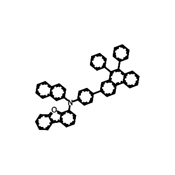 c1ccc(-c2c(-c3ccccc3)c3cc(-c4ccc(N(c5ccc6ccccc6c5)c5cccc6c5oc5ccccc56)cc4)ccc3c3ccccc23)cc1